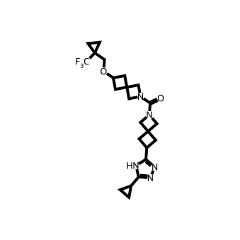 O=C(N1CC2(CC(OCC3(C(F)(F)F)CC3)C2)C1)N1CC2(CC(c3nnc(C4CC4)[nH]3)C2)C1